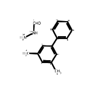 Cc1cc(C)cc(-c2ccccc2)c1.NNC=O